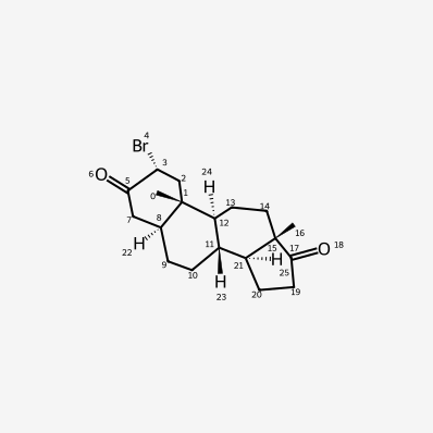 C[C@]12C[C@@H](Br)C(=O)C[C@@H]1CC[C@@H]1[C@@H]2CC[C@]2(C)C(=O)CC[C@@H]12